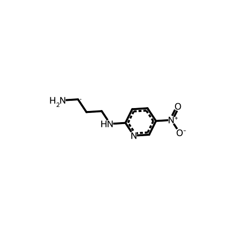 N[CH]CCNc1ccc([N+](=O)[O-])cn1